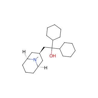 CN1[C@@H]2CCC[C@H]1C[C@@H](CC(O)(C1CCCCC1)C1CCCCC1)C2